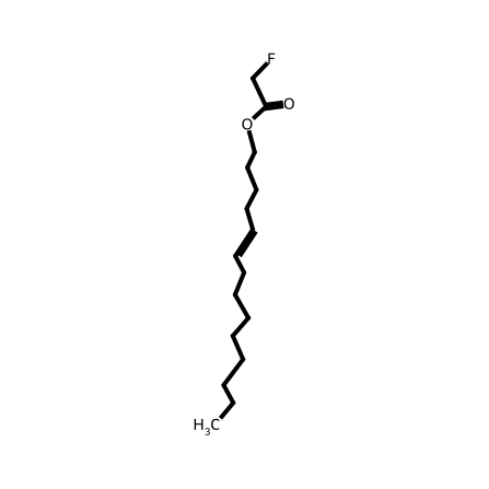 CCCCCCCC/C=C/CCCCOC(=O)CF